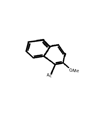 COc1ccc2c[c]ccc2c1C(C)=O